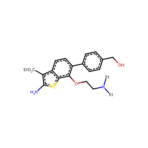 CCOC(=O)c1c(N)sc2c(OCCN(CC)CC)c(-c3ccc(CO)cc3)ccc12